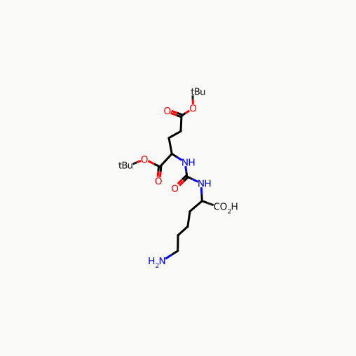 CC(C)(C)OC(=O)CCC(NC(=O)NC(CCCCN)C(=O)O)C(=O)OC(C)(C)C